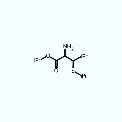 CC(C)OC(=O)C(N)C(SC(C)C)C(C)C